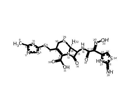 Cc1nsc(SCC2=C(C(=O)O)N3C(=O)C(NC(=O)C(=NO)c4csc(=N)[nH]4)[C@@H]3SC2)n1